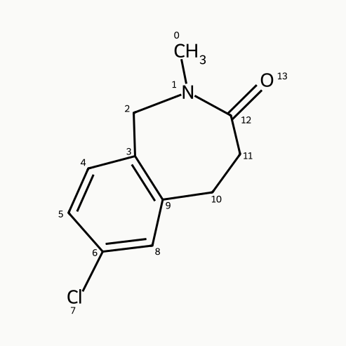 CN1Cc2ccc(Cl)cc2CCC1=O